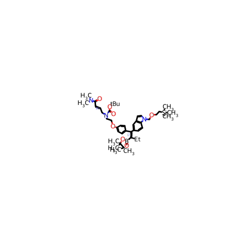 CC/C(B1OC(C)(C)C(C)(C)O1)=C(/c1ccc(OCCN(C/C=C/C(=O)N(C)C)C(=O)OC(C)(C)C)cc1)c1ccc2c(ccn2COCC[Si](C)(C)C)c1